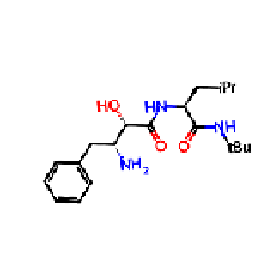 CC(C)C[C@H](NC(=O)[C@@H](O)[C@H](N)Cc1ccccc1)C(=O)NC(C)(C)C